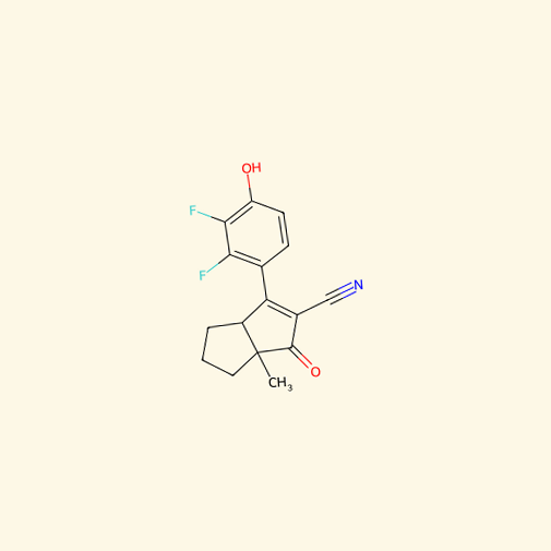 CC12CCCC1C(c1ccc(O)c(F)c1F)=C(C#N)C2=O